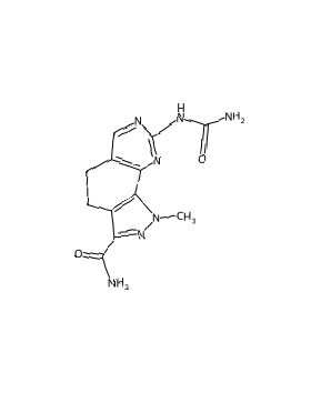 Cn1nc(C(N)=O)c2c1-c1nc(NC(N)=O)ncc1CC2